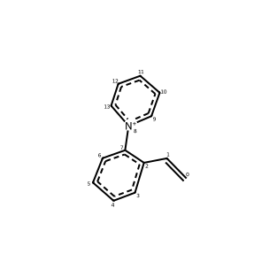 C=Cc1ccccc1-[n+]1ccccc1